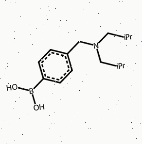 CC(C)CN(Cc1ccc(B(O)O)cc1)CC(C)C